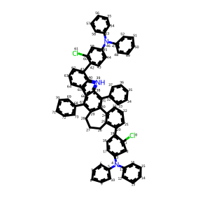 Clc1cc(N(c2ccccc2)c2ccccc2)ccc1-c1cccc2c1CCCc1c-2c(-c2ccccc2)c2[nH]c3c(-c4ccc(N(c5ccccc5)c5ccccc5)cc4Cl)cccc3c2c1-c1ccccc1